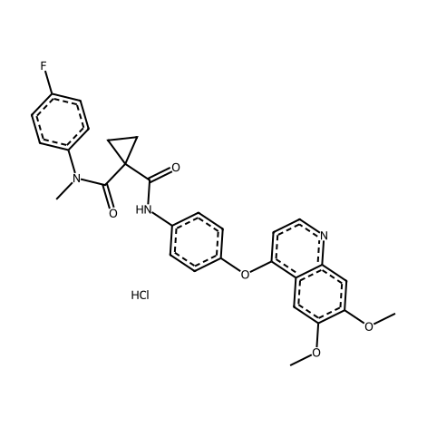 COc1cc2nccc(Oc3ccc(NC(=O)C4(C(=O)N(C)c5ccc(F)cc5)CC4)cc3)c2cc1OC.Cl